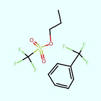 CCCOS(=O)(=O)C(F)(F)F.FC(F)(F)c1ccccc1